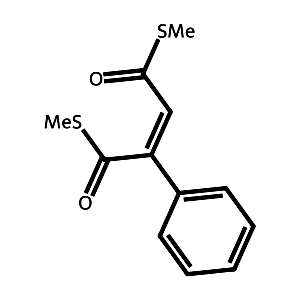 CSC(=O)/C=C(\C(=O)SC)c1ccccc1